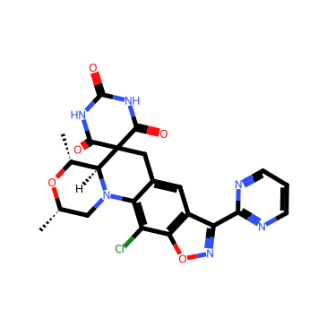 C[C@H]1CN2c3c(cc4c(-c5ncccn5)noc4c3Cl)CC3(C(=O)NC(=O)NC3=O)[C@@H]2[C@@H](C)O1